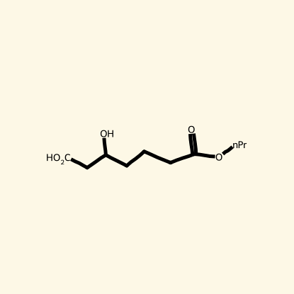 CCCOC(=O)CCCC(O)CC(=O)O